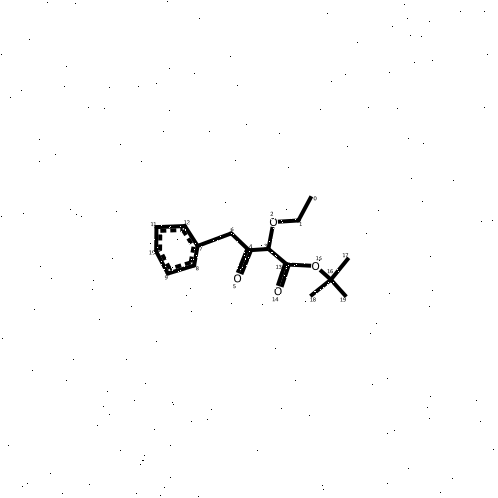 CCOC(C(=O)Cc1ccccc1)C(=O)OC(C)(C)C